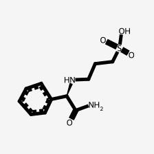 NC(=O)[C@H](NCCCS(=O)(=O)O)c1ccccc1